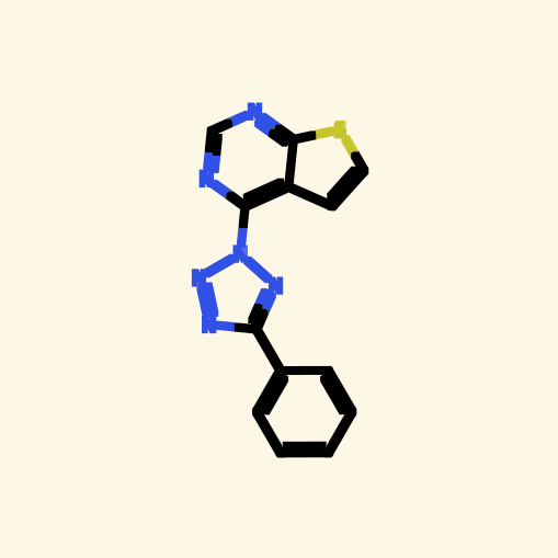 c1ccc(-c2nnn(-c3ncnc4sccc34)n2)cc1